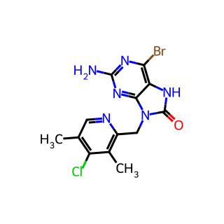 Cc1cnc(Cn2c(=O)[nH]c3c(Br)nc(N)nc32)c(C)c1Cl